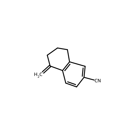 C=C1CCCc2cc(C#N)ccc21